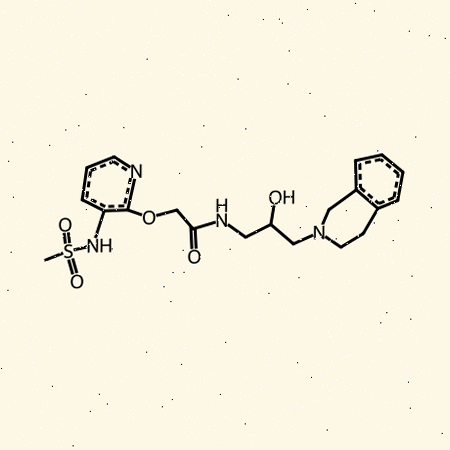 CS(=O)(=O)Nc1cccnc1OCC(=O)NCC(O)CN1CCc2ccccc2C1